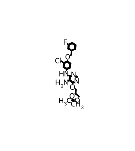 CC1(C)OCC(COc2ncnc(Nc3ccc(OCc4cccc(F)c4)c(Cl)c3)c2N)O1